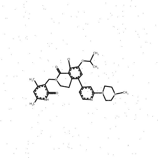 Cc1cc(C)c(CN2CCc3c(-c4ccnc(N5CCN(C)CC5)c4)cc(OC(C)C)c(Cl)c3C2=O)c(=O)[nH]1